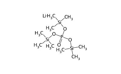 C[Si](C)(C)OP(=O)(O[Si](C)(C)C)O[Si](C)(C)C.[Li]